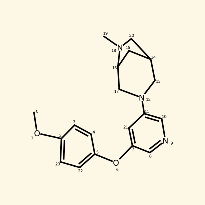 COc1ccc(Oc2cncc(N3CC4CC(C3)N(C)C4)c2)cc1